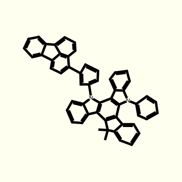 CC1(C)c2ccccc2-c2c1c1c3ccccc3n(-c3cccc(-c4ccc5c6c(cccc46)-c4ccccc4-5)c3)c1c1c3ccccc3n(-c3ccccc3)c21